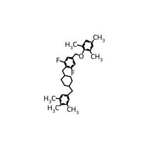 Cc1cc(C)c(OCc2cc(F)c(CC3CCC(Cc4cc(C)c(C)c(C)c4)CC3)c(F)c2)c(C)c1